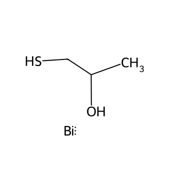 CC(O)CS.[Bi]